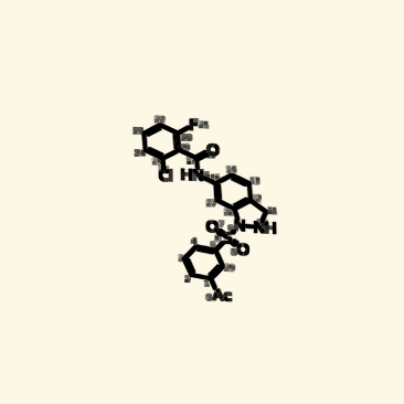 CC(=O)c1cccc(S(=O)(=O)N2NCc3ccc(NC(=O)c4c(F)cccc4Cl)cc32)c1